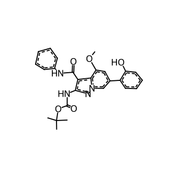 COc1cc(-c2ccccc2O)cn2nc(NC(=O)OC(C)(C)C)c(C(=O)Nc3ccccc3)c12